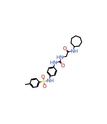 Cc1ccc(S(=O)(=O)Nc2ccc(NC(=O)NCC(=O)NC3CCCCCC3)cc2)cc1